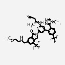 COCCNCc1cc2c(c(C(F)(F)F)c1)CN(c1cc(-c3cc(C(F)(F)F)ccc3-c3nncn3C)cc(N[C@@H](C)CC#N)n1)C2=O